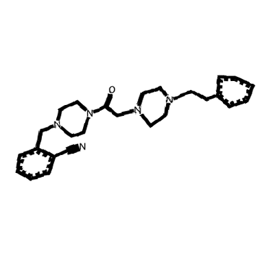 N#Cc1ccccc1CN1CCN(C(=O)CN2CCN(CCc3ccccc3)CC2)CC1